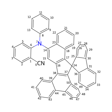 N#Cc1ccccc1N(c1ccccc1)c1cc2c(c3ccccc13)C1(c3ccccc3-c3ccccc31)c1c-2c2ccccc2c2ccccc12